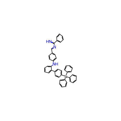 N=C(/N=C/c1ccc(Nc2ccccc2-c2ccc([Si](c3ccccc3)(c3ccccc3)c3ccccc3)cc2)cc1)c1ccccc1